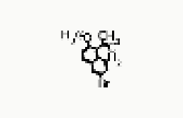 C=C(C)c1c(OC)ccc2cc(Br)ccc12